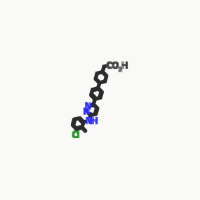 Cc1c(Cl)cccc1Nc1ccc(-c2ccc(C3CCC(CC(=O)O)CC3)cc2)nn1